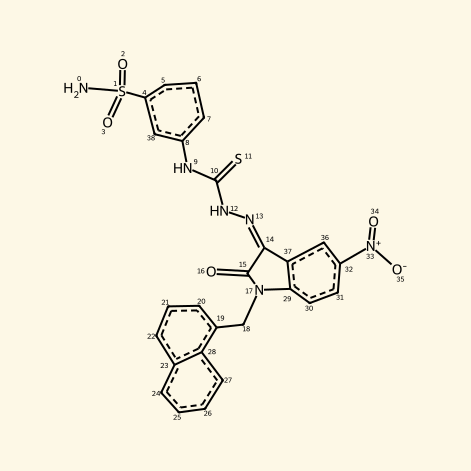 NS(=O)(=O)c1cccc(NC(=S)NN=C2C(=O)N(Cc3cccc4ccccc34)c3ccc([N+](=O)[O-])cc32)c1